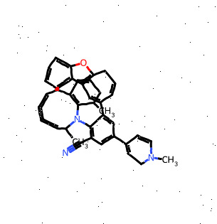 CC1CC=CC2=C1N(c1c(C#N)cc(C3=CCN(C)C=C3)cc1C1=Cc3c(oc4ccccc34)CC=C1)C(C)C=C=C=CC2